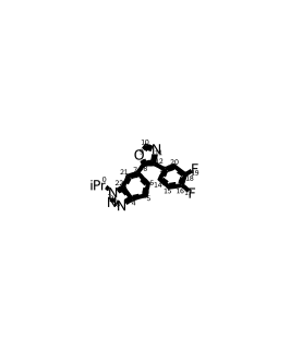 CC(C)n1nnc2ccc(-c3ocnc3-c3ccc(F)c(F)c3)cc21